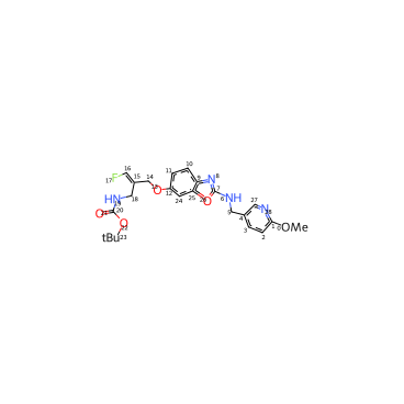 COc1ccc(CNc2nc3ccc(OCC(=CF)CNC(=O)OC(C)(C)C)cc3o2)cn1